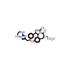 CCCCCCCCCC(c1ccccc1)C1c2cc(OCCc3cn4c(n3)NCCN4)ccc2C[C@@H](CC(=O)O)C(=O)N1CC(F)(F)F